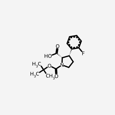 CC(C)(C)OC(=O)N1CC[C@@H](c2ccccc2F)[C@H]1C(=O)O